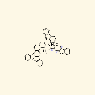 C\C=C1/C(=C\C=C(/C)N(c2ccc3ccc4c(cc5c6c(n7c8ccccc8c4c57)CCC=C6)c3c2)c2cccc3c2sc2ccccc23)Cc2ccccc21